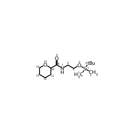 CC(C)(C)[Si](C)(C)OCCNC(=O)C1C[CH]CCO1